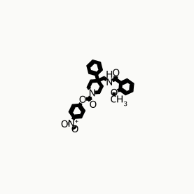 COc1ccccc1C(=O)NCC1(c2ccccc2)CCN(C(=O)Oc2ccc([N+](=O)[O-])cc2)CC1